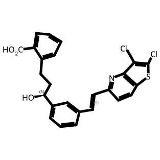 O=C(O)c1ccccc1CC[C@H](O)c1cccc(/C=C/c2ccc3sc(Cl)c(Cl)c3n2)c1